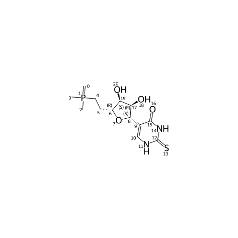 C=P(C)(C)CC[C@H]1O[C@@H](c2c[nH]c(=S)[nH]c2=O)[C@H](O)[C@@H]1O